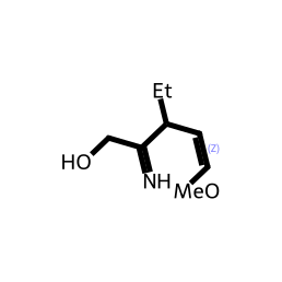 CCC(/C=C\OC)C(=N)CO